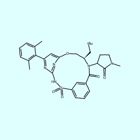 Cc1cccc(C)c1-c1cc2nc(n1)NS(=O)(=O)c1cccc(c1)C(=O)N(C1CCN(C)C1=O)[C@H](CC(C)(C)C)CO2